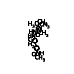 CC(=O)Nc1ccc(-c2ccc(NC(=O)Nc3cc(C(C)(C)C)nn3C)c(C)c2)cc1